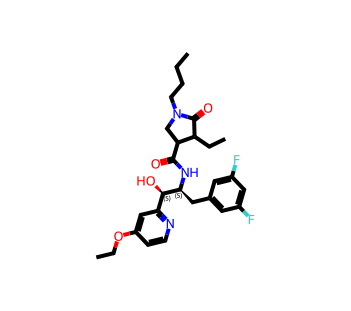 CCCCN1CC(C(=O)N[C@@H](Cc2cc(F)cc(F)c2)[C@H](O)c2cc(OCC)ccn2)C(CC)C1=O